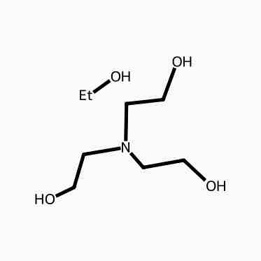 CCO.OCCN(CCO)CCO